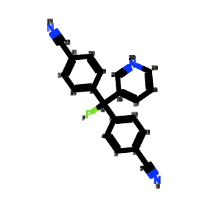 N#Cc1ccc(C(F)(c2ccc(C#N)cc2)c2cccnc2)cc1